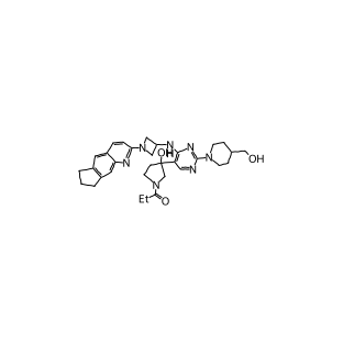 CCC(=O)N1CCC(O)(c2cnc(N3CCC(CO)CC3)nc2NC2CN(c3ccc4cc5c(cc4n3)CCC5)C2)C1